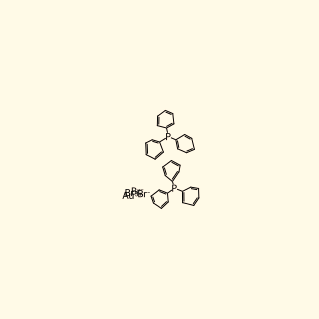 [Au+3].[Br-].[Br-].[Br-].c1ccc(P(c2ccccc2)c2ccccc2)cc1.c1ccc(P(c2ccccc2)c2ccccc2)cc1